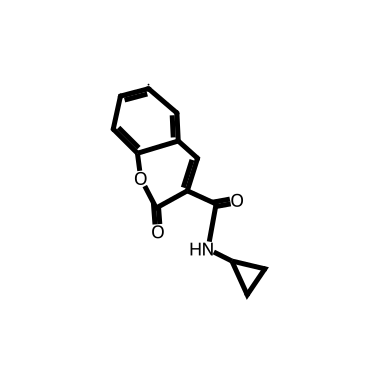 O=C(NC1CC1)c1cc2c[c]ccc2oc1=O